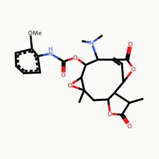 COc1ccccc1NC(=O)OC1C(N(C)C)C2=CC(OC2=O)C2C(CC3(C)OC13)OC(=O)C2C